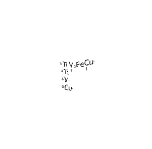 [Cu].[Cu].[Fe].[Ti].[Ti].[V].[V]